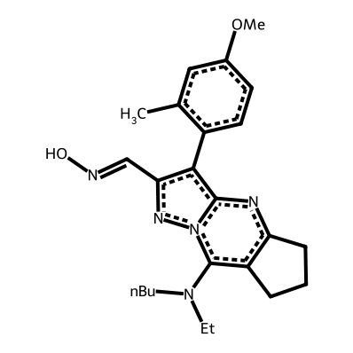 CCCCN(CC)c1c2c(nc3c(-c4ccc(OC)cc4C)c(/C=N/O)nn13)CCC2